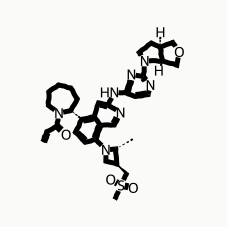 C=CC(=O)N1CCCCC[C@@H]1c1ccc(N2C[C@H](CS(C)(=O)=O)[C@H]2C)c2cnc(Nc3ccnc(N4CC[C@H]5COC[C@H]54)n3)cc12